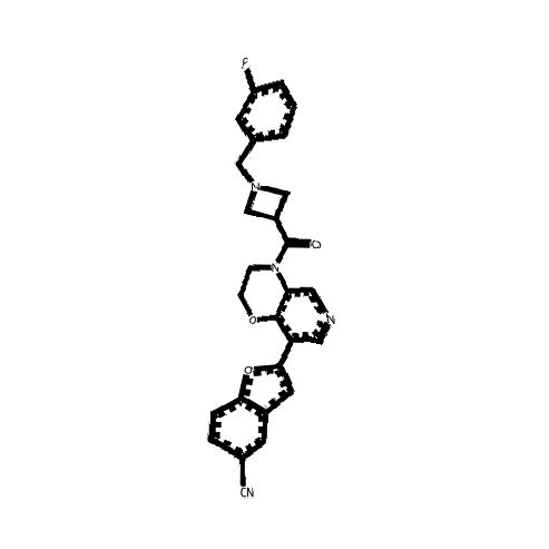 N#Cc1ccc2oc(-c3cncc4c3OCCN4C(=O)C3CN(Cc4cccc(F)c4)C3)cc2c1